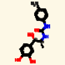 C[C@@H](NC(=O)Nc1ccc([N+](=O)[O-])cc1)[C@@H](O)c1ccc(O)c(O)c1